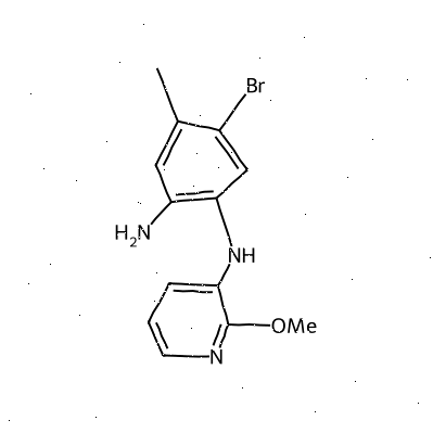 COc1ncccc1Nc1cc(Br)c(C)cc1N